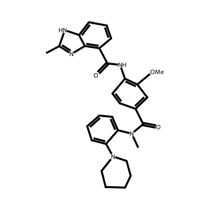 COc1cc(C(=O)N(C)c2ccccc2N2CCCCC2)ccc1NC(=O)c1cccc2[nH]c(C)nc12